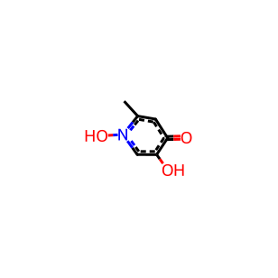 Cc1cc(=O)c(O)cn1O